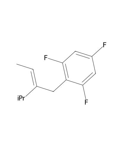 CC=C(Cc1c(F)cc(F)cc1F)C(C)C